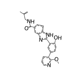 C=C(C)CNC(=O)c1ccc2[nH]c(-c3cc(-c4cccnc4OC)ccc3O)nc2c1